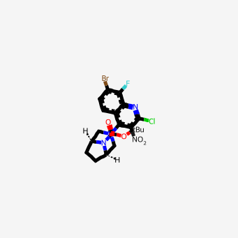 CC(C)(C)OC(=O)N1[C@@H]2CC[C@H]1CN(c1c([N+](=O)[O-])c(Cl)nc3c(F)c(Br)ccc13)C2